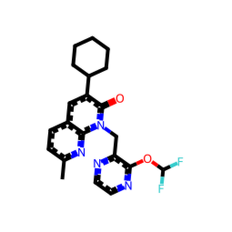 Cc1ccc2cc(C3CCCCC3)c(=O)n(Cc3nccnc3OC(F)F)c2n1